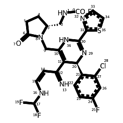 CCOC(=O)NC[C@H]1CCC(=O)N1CC1=C(C(=N)/C=C\NC(F)F)[C@H](c2ccc(F)cc2Cl)N=C(c2nccs2)N1